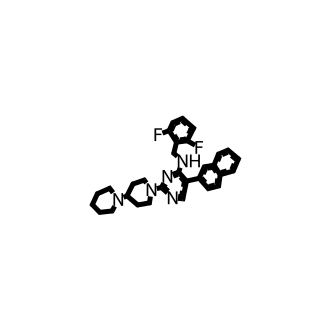 Fc1cccc(F)c1CNc1nc(N2CCC(N3CCCCC3)CC2)ncc1-c1ccc2ccccc2c1